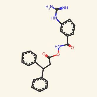 N=C(N)Nc1cccc(C(=O)NOC(=O)CC(c2ccccc2)c2ccccc2)c1